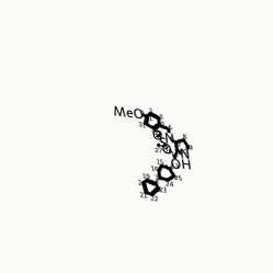 COc1ccc(CN([C@H]2CCN[C@H]2CO[C@H]2CC[C@@H](c3ccccc3)CC2)S(C)(=O)=O)cc1